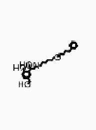 OCc1ccc(O)c(C(O)CNCCCCCCOCCCCc2ccccc2)c1